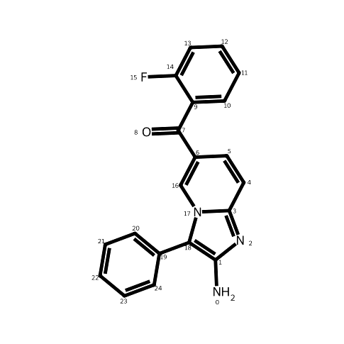 Nc1nc2ccc(C(=O)c3ccccc3F)cn2c1-c1ccccc1